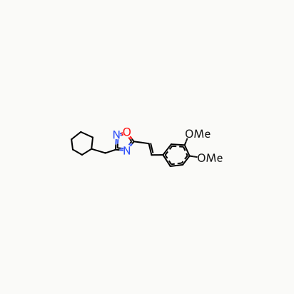 COc1ccc(C=Cc2nc(CC3CCCCC3)no2)cc1OC